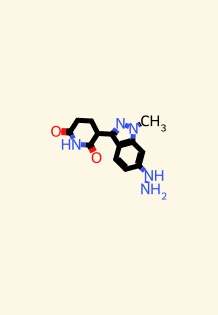 Cn1nc(C2CCC(=O)NC2=O)c2ccc(NN)cc21